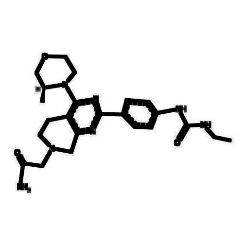 CCNC(=O)Nc1ccc(-c2nc3c(c(N4CCOC[C@@H]4C)n2)CCN(CC(N)=O)C3)cc1